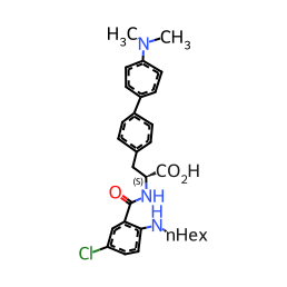 CCCCCCNc1ccc(Cl)cc1C(=O)N[C@@H](Cc1ccc(-c2ccc(N(C)C)cc2)cc1)C(=O)O